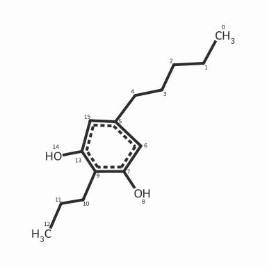 CCCCCc1cc(O)c(CCC)c(O)c1